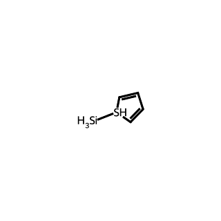 [SiH3][SH]1C=CC=C1